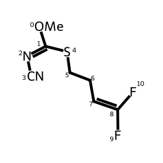 COC(=NC#N)SCCC=C(F)F